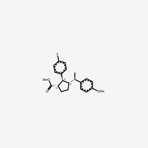 COC(=O)[C@H]1CC[C@@H](N(C)c2ccc(OC)cc2)[C@@H]1c1ccc(F)cc1